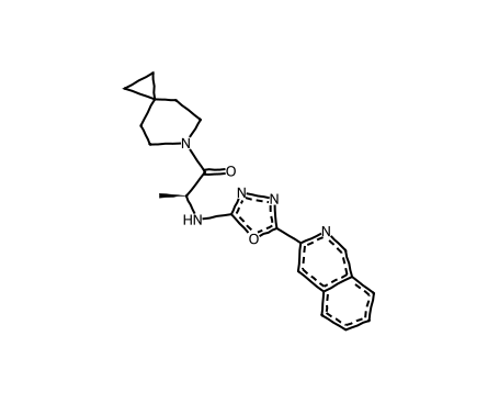 C[C@H](Nc1nnc(-c2cc3ccccc3cn2)o1)C(=O)N1CCC2(CC1)CC2